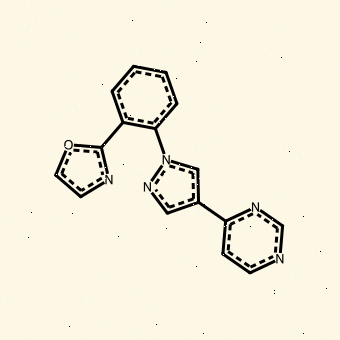 c1ccc(-n2cc(-c3ccncn3)cn2)c(-c2ncco2)c1